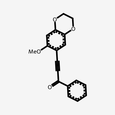 COc1cc2c(cc1C#CC(=O)c1ccccc1)OCCO2